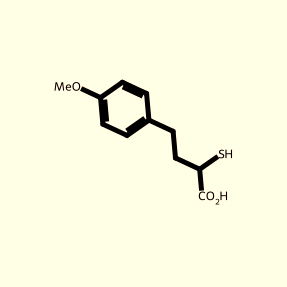 COc1ccc(CCC(S)C(=O)O)cc1